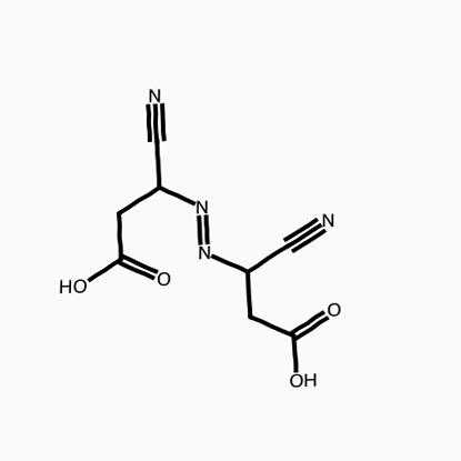 N#CC(CC(=O)O)N=NC(C#N)CC(=O)O